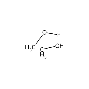 CO.COF